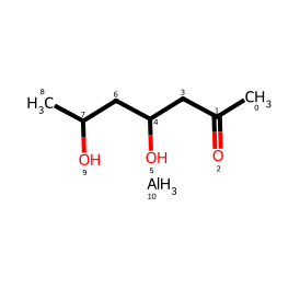 CC(=O)CC(O)CC(C)O.[AlH3]